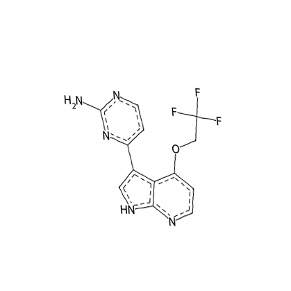 Nc1nccc(-c2c[nH]c3nccc(OCC(F)(F)F)c23)n1